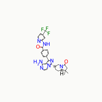 CC1(C)CC(=O)N2C[C@@H](c3nc(-c4ccc(C(=O)Nc5cc(C(F)(F)F)ccn5)cc4)c4c(N)nccn34)CC[C@@H]21